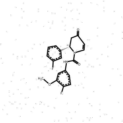 COc1cc(NC(=O)N2C=CC(=O)C[C@H]2c2cccc(F)c2)ccc1F